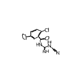 N#CNC(=N)NC(=O)c1cc(Cl)ccc1Cl